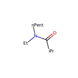 CCCCCN(CC)C(=O)C(C)C